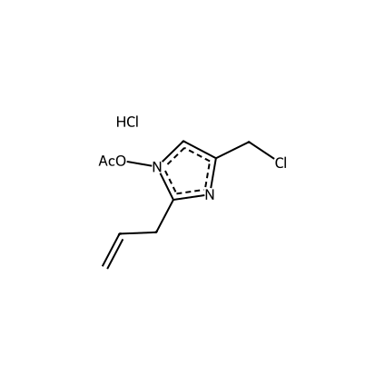 C=CCc1nc(CCl)cn1OC(C)=O.Cl